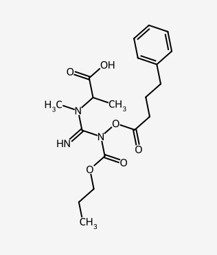 CCCOC(=O)N(OC(=O)CCCc1ccccc1)C(=N)N(C)C(C)C(=O)O